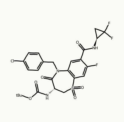 CC(C)(C)OC(=O)N[C@H]1CS(=O)(=O)c2cc(F)c(C(=O)N[C@H]3CC3(F)F)cc2N(Cc2ccc(Cl)cc2)C1=O